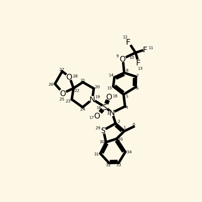 Cc1c(N(Cc2ccc(OC(F)(F)F)cc2)S(=O)(=O)N2CCC3(CC2)OCCO3)sc2ccccc12